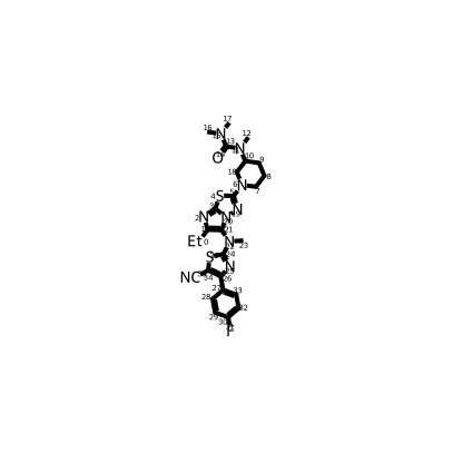 CCc1nc2sc(N3CCCC(N(C)C(=O)N(C)C)C3)nn2c1N(C)c1nc(-c2ccc(F)cc2)c(C#N)s1